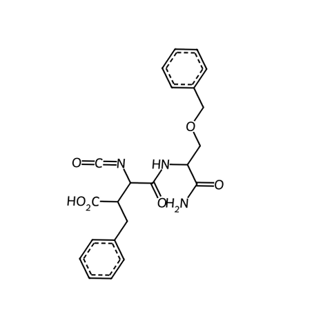 NC(=O)C(COCc1ccccc1)NC(=O)C(N=C=O)C(Cc1ccccc1)C(=O)O